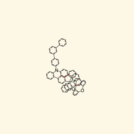 c1ccc(-c2cccc(-c3ccc(N(c4ccc(-c5cccc6c5-c5ccccc5C65c6ccccc6Oc6ccccc65)cc4)c4ccccc4-c4ccc5c(c4)-c4ccccc4C54c5ccccc5Oc5ccccc54)cc3)c2)cc1